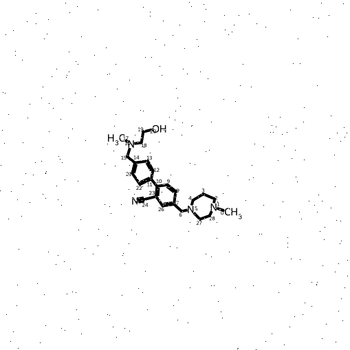 CN1CCCN(Cc2ccc(-c3ccc(CN(C)CCO)cc3)c(C#N)c2)CC1